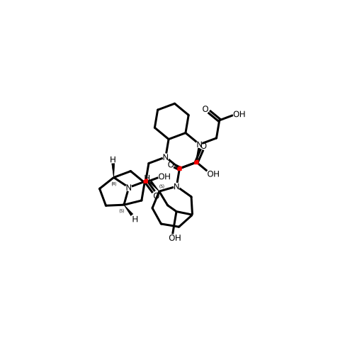 O=C(O)CN(CC(=O)N1CC2CCC[C@H]1CC2O)C1CCCCC1N(CC(=O)O)CC(=O)N1[C@@H]2CC[C@H]1CC(O)C2